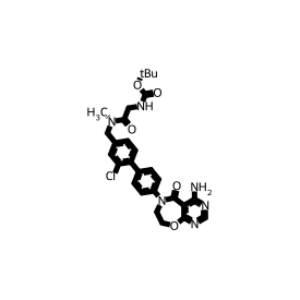 CN(Cc1ccc(-c2ccc(N3CCOc4ncnc(N)c4C3=O)cc2)c(Cl)c1)C(=O)CNC(=O)OC(C)(C)C